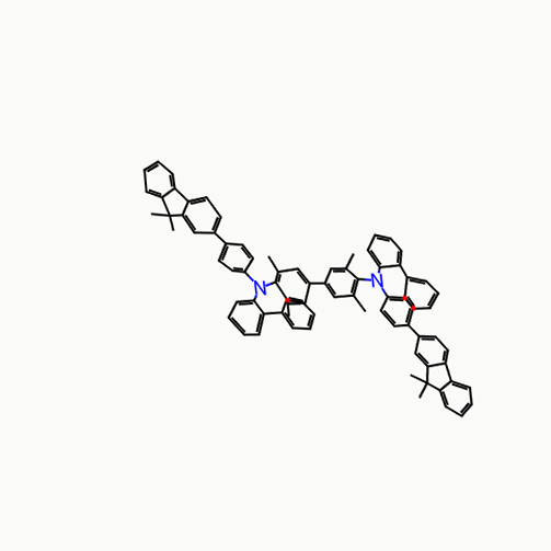 Cc1cc(-c2cc(C)c(N(c3ccc(-c4ccc5c(c4)C(C)(C)c4ccccc4-5)cc3)c3ccccc3-c3ccccc3)c(C)c2)cc(C)c1N(c1ccc(-c2ccc3c(c2)C(C)(C)c2ccccc2-3)cc1)c1ccccc1-c1ccccc1